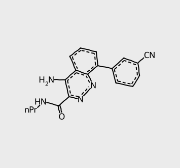 CCCNC(=O)c1nnc2c(-c3cccc(C#N)c3)cccc2c1N